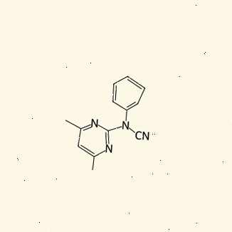 Cc1cc(C)nc(N(C#N)c2ccccc2)n1